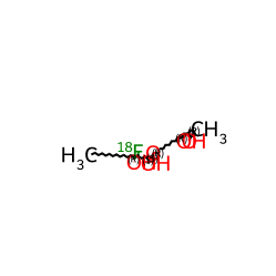 CCCCCCCCCCCC[C@@H](O)C([18F])CC[C@H](O)[C@@H]1CC[C@@H](CCCCCCC[C@@H](O)CC2=C[C@H](C)CC2=O)O1